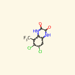 O=c1[nH]c2cc(Cl)c(Cl)c(C(F)(F)F)c2[nH]c1=O